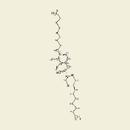 CCCCCCCCOc1ccc(OC(=O)[C@H]2CC[C@H](CCCCCCC)CC2)c(F)c1F